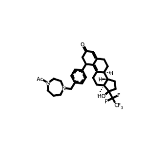 CC(=O)N1CCCN(Cc2ccc(C3CC(=O)C=C4CC[C@@H]5C(=C43)CC[C@@]3(C)[C@H]5CCC3(O)C(F)(F)C(F)(F)F)cc2)CC1